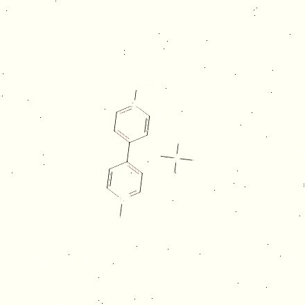 CCCCCCCC[n+]1ccc(-c2cc[n+](CCCCCCCC)cc2)cc1.F[B-](F)(F)F